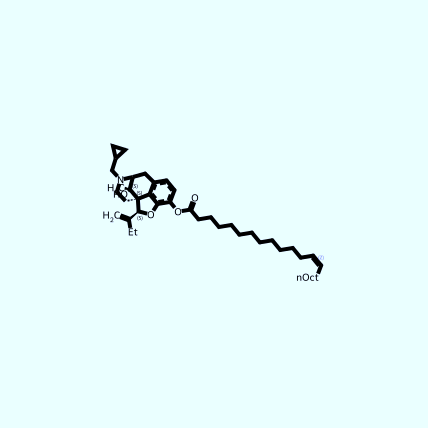 C=C(CC)[C@@H]1Oc2c(OC(=O)CCCCCCCCCCC/C=C\CCCCCCCC)ccc3c2[C@@]12CCN(CC1CC1)C(C3)[C@@]2(C)O